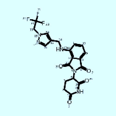 O=C1CCC(N2C(=O)c3cccc(NCc4cnn(CC(F)(F)F)c4)c3C2=O)C(=O)N1